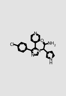 NC(=O)C(c1cc[nH]c1)n1cnc(-c2ccc(Cl)cc2)c1-c1ccncc1